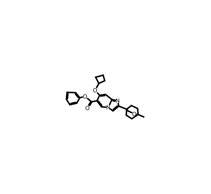 CC12CCC(c3cn4cc(C(=O)Oc5ccccc5)c(OC5CCC5)cc4n3)(CC1)CO2